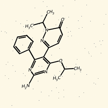 CC(C)Oc1nc(N)nc(-c2ccccc2)c1-c1ccc(=O)n(C(C)C)n1